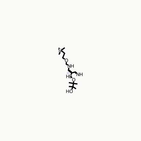 CC(C)(O)C(C)(C)OB/C(C=N)=C/NCOCC[Si](C)(C)C